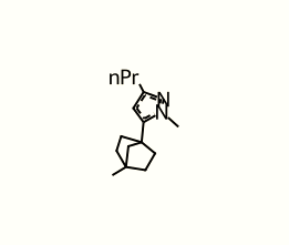 CCCc1cc(C23CCC(C)(CC2)C3)n(C)n1